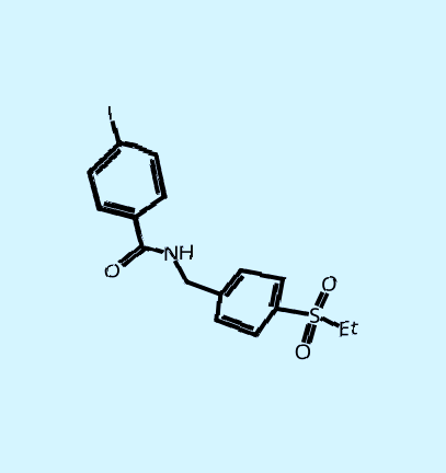 CCS(=O)(=O)c1ccc(CNC(=O)c2ccc(I)cc2)cc1